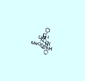 COC(=O)[C@@H]1c2c(cnn2C(=O)Nc2ccccc2)[C@@H]2CN1C(=O)N2OCc1ccccc1